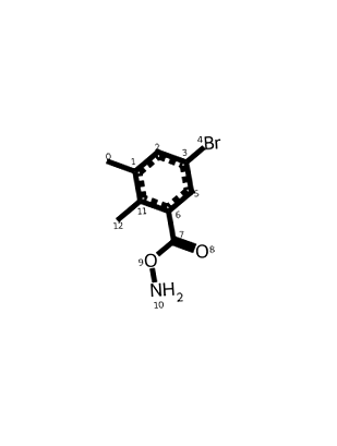 Cc1cc(Br)cc(C(=O)ON)c1C